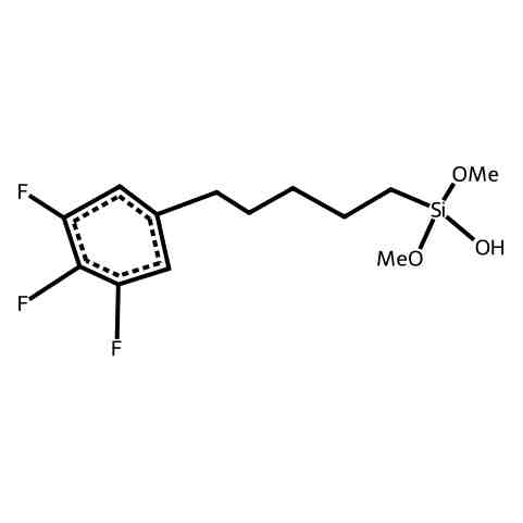 CO[Si](O)(CCCCCc1cc(F)c(F)c(F)c1)OC